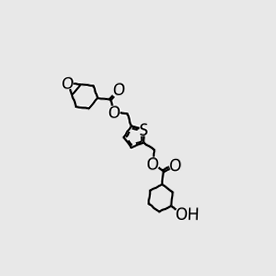 O=C(OCc1ccc(COC(=O)C2CCC3OC3C2)s1)C1CCCC(O)C1